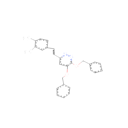 FC(F)(F)c1ccc(C=Cc2cc(OCc3ccccc3)c(OCc3ccccc3)nn2)cc1C(F)(F)F